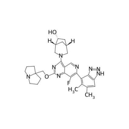 Cc1cc2[nH]nnc2c(-c2ncc3c(N4C[C@@H]5C[C@H](C4)[C@H](O)C5)nc(OCC45CCCN4CCC5)nc3c2F)c1C